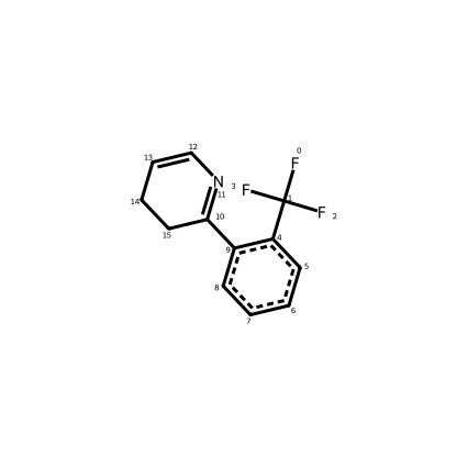 FC(F)(F)c1ccccc1C1=NC=CCC1